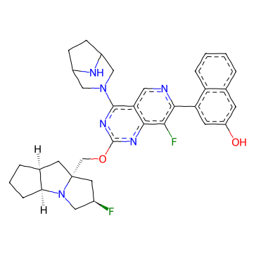 Oc1cc(-c2ncc3c(N4CC5CCC(C4)N5)nc(OC[C@]45C[C@@H](F)CN4[C@H]4CCC[C@H]4C5)nc3c2F)c2ccccc2c1